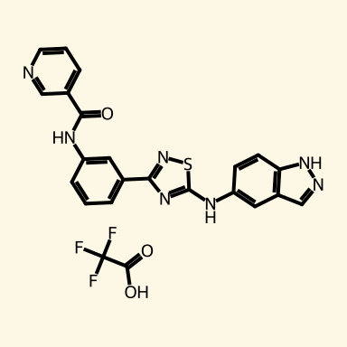 O=C(Nc1cccc(-c2nsc(Nc3ccc4[nH]ncc4c3)n2)c1)c1cccnc1.O=C(O)C(F)(F)F